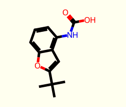 CC(C)(C)c1cc2c(NC(=O)O)cccc2o1